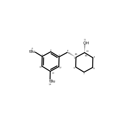 CC(C)(C)c1cc(C[C@H]2CCCC[C@H]2O)cc(C(C)(C)C)c1